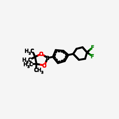 CC1(C)OB(c2ccc(C3CCC(F)(F)CC3)cc2)OC1(C)C